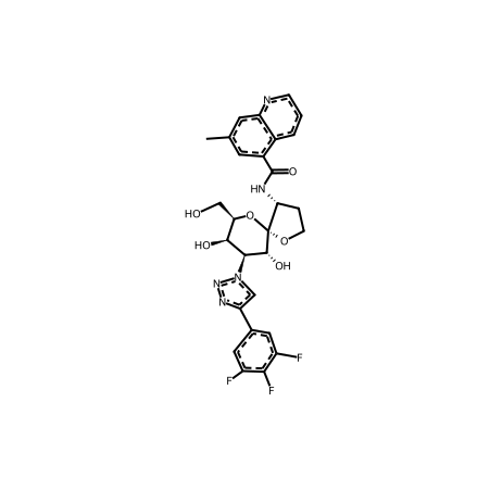 Cc1cc(C(=O)N[C@@H]2CCO[C@]23O[C@H](CO)[C@H](O)[C@H](n2cc(-c4cc(F)c(F)c(F)c4)nn2)[C@H]3O)c2cccnc2c1